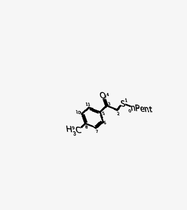 CCCCCSCC(=O)c1ccc(C)cc1